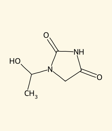 CC(O)N1CC(=O)NC1=O